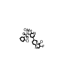 COc1ncc(-c2ccc3ncc(F)c(=O)n3c2)cc1NS(=O)(=O)c1ccccc1Cl